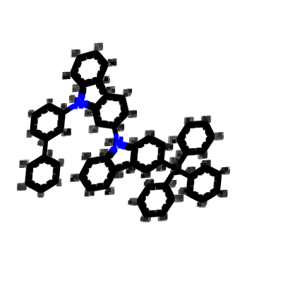 c1ccc(-c2cccc(-n3c4ccccc4c4ccc(-n5c6ccccc6c6cc([Si](c7ccccc7)(c7ccccc7)c7ccccc7)ccc65)cc43)c2)cc1